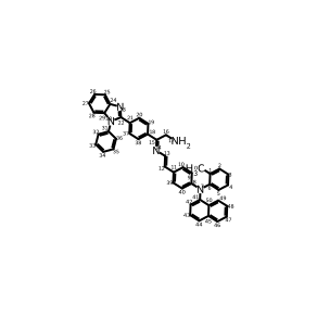 Cc1ccccc1N(c1ccc(/C=C/N=C(\CN)c2ccc(-c3nc4ccccc4n3-c3ccccc3)cc2)cc1)c1cccc2ccccc12